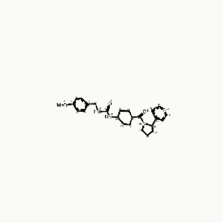 COc1ccc(CNC(=O)NC2CCC(C(=O)N3CCCC3c3ccncc3)CC2)cc1